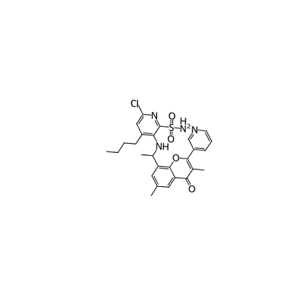 CCCCc1cc(Cl)nc(S(N)(=O)=O)c1NC(C)c1cc(C)cc2c(=O)c(C)c(-c3cccnc3)oc12